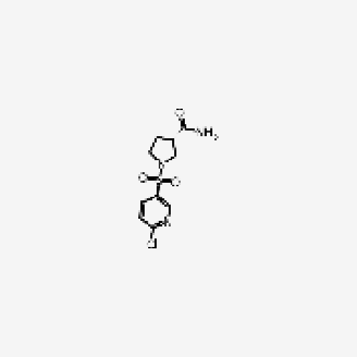 NC(=O)[C@H]1CCN(S(=O)(=O)c2ccc(Cl)nc2)C1